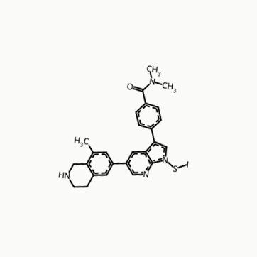 Cc1cc(-c2cnc3c(c2)c(-c2ccc(C(=O)N(C)C)cc2)cn3SI)cc2c1CNCC2